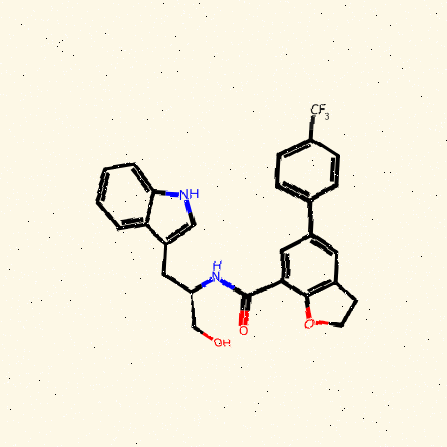 O=C(N[C@@H](CO)Cc1c[nH]c2ccccc12)c1cc(-c2ccc(C(F)(F)F)cc2)cc2c1OCC2